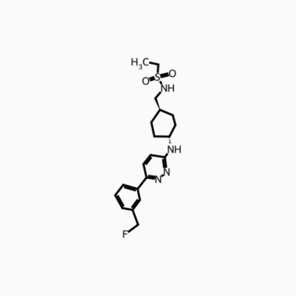 CCS(=O)(=O)NC[C@H]1CC[C@H](Nc2ccc(-c3cccc(CF)c3)nn2)CC1